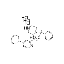 CC(C(=O)O)(c1ccccc1)N1CCNCC1Cc1cc(-c2ccccc2)ccn1.Cl.Cl.Cl